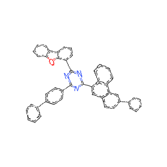 c1ccc(-c2ccc(-c3nc(-c4cc5ccc(-c6ccccc6)cc5c5ccccc45)nc(-c4cccc5c4oc4ccccc45)n3)cc2)cc1